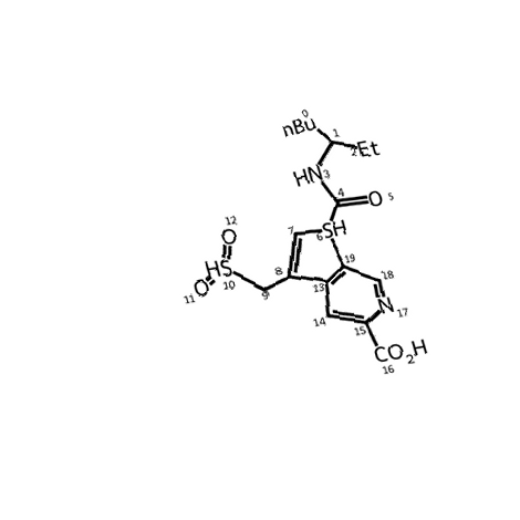 CCCCC(CC)NC(=O)[SH]1C=C(C[SH](=O)=O)c2cc(C(=O)O)ncc21